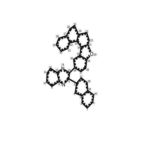 c1ccc2cc(-c3nc4ccccc4nc3-c3ccc4oc5ccc6ccc7ccccc7c6c5c4c3)ccc2c1